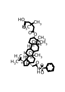 C=C(C)[C@@H]1CC[C@]2(CC(=O)NS(=O)(=O)c3ccccc3)CC[C@]3(C)[C@H](CC[C@@H]4[C@@]5(C)CC[C@H](OC(=O)CC(C)(C)CC(=O)O)C(C)(C)[C@@H]5CC[C@]43C)[C@@H]12